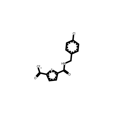 O=C(NCc1ccc(Cl)cc1)c1ccc(C(=O)C(F)(F)F)s1